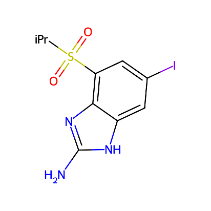 CC(C)S(=O)(=O)c1cc(I)cc2[nH]c(N)nc12